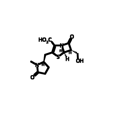 CN1C(=O)CC[C@@H]1CC1=C(C(=O)O)N2C(=O)[C@H](CO)[C@H]2S1